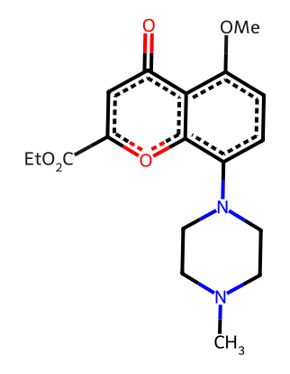 CCOC(=O)c1cc(=O)c2c(OC)ccc(N3CCN(C)CC3)c2o1